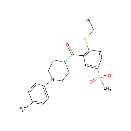 CC(C)CSc1ccc(S(C)(=O)=O)cc1C(=O)N1CCN(c2ccc(C(F)(F)F)cc2)CC1